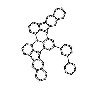 c1ccc(-c2cccc(-c3cc4c5c(c3)-n3c6cc7ccccc7cc6c6cccc(c63)B5c3cccc5c6cc7ccccc7cc6n-4c35)c2)cc1